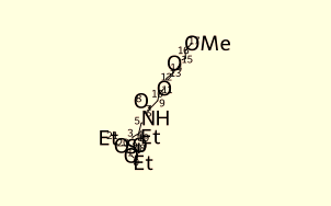 CCO[Si](CCCNC(=O)CCOCCOCCOC)(OCC)OCC